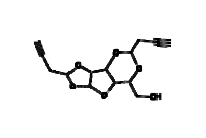 C#CCC1OC2OC3C(CO)OC(CC#C)OC3C2O1